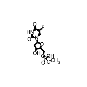 COP(=O)(O)OCC1OC(n2cc(F)c(=O)[nH]c2=O)CC1O